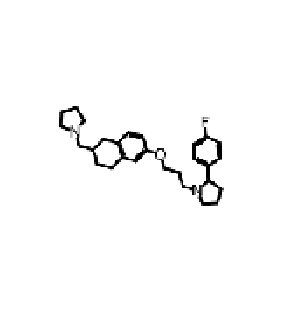 Fc1ccc(C2CCCN2CCCOc2ccc3c(c2)CCC(CN2CCCC2)C3)cc1